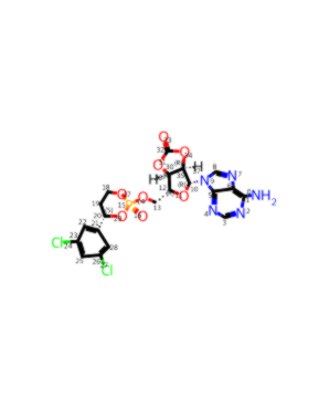 Nc1ncnc2c1ncn2[C@@H]1O[C@H](COP2(=O)OCC[C@@H](c3cc(Cl)cc(Cl)c3)O2)[C@H]2OC(=O)O[C@H]21